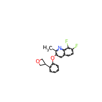 Cc1nc2c(F)c(F)ccc2cc1Oc1ccccc1C1COC1